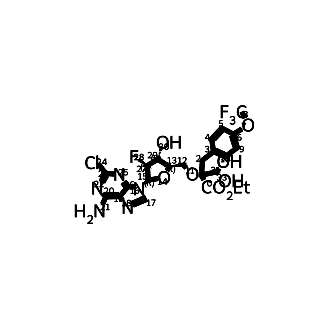 CCOC(=O)C(Cc1ccc(OC(F)(F)F)cc1)(OC[C@H]1O[C@@H](n2cnc3c(N)nc(Cl)nc32)[C@@H](F)[C@@H]1O)C(O)O